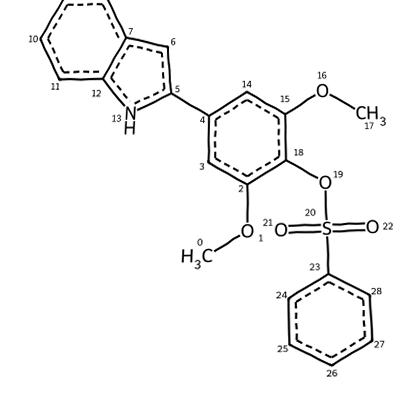 COc1cc(-c2cc3ccccc3[nH]2)cc(OC)c1OS(=O)(=O)c1ccccc1